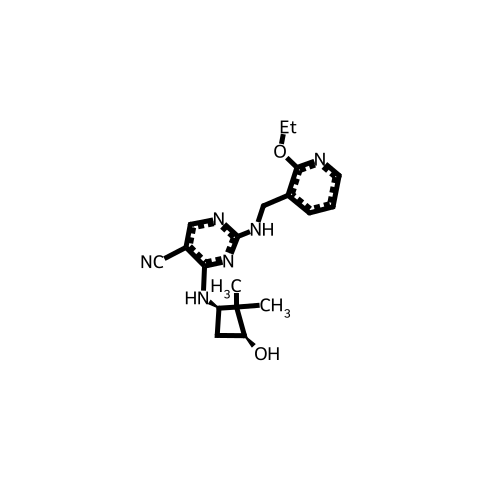 CCOc1ncccc1CNc1ncc(C#N)c(N[C@@H]2C[C@H](O)C2(C)C)n1